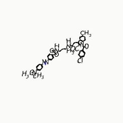 Cc1ccc2c(c1)c(CC(=O)NCCCNS(=O)(=O)c1ccc(/N=N/c3ccc(N(C)C)cc3)cc1)c(C)n2C(=O)c1ccc(Cl)cc1